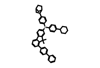 CC1(C)c2cc(N(c3ccc(C4CCCCC4)cc3)c3ccc(C4CC5CCC4C5)cc3)ccc2-c2cccc(-c3ccc(-c4ccccc4)cc3)c21